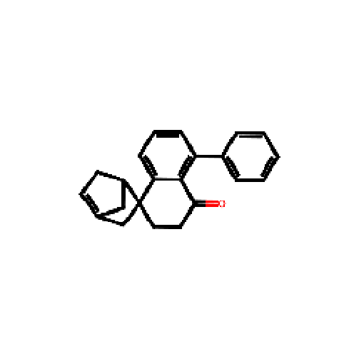 O=C1CCC2(CC3=CCC2C3)c2cccc(-c3ccccc3)c21